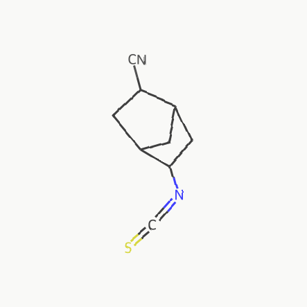 N#CC1CC2CC1CC2N=C=S